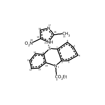 CCOC(=O)N1c2ccccc2Sc2ccccc21.Cc1ncc([N+](=O)[O-])[nH]1